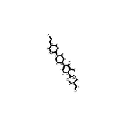 CCCC1CCC(C2CCC(C3=CCC(C4OCC(CC)CO4)C(F)=C3F)CC2)OC1